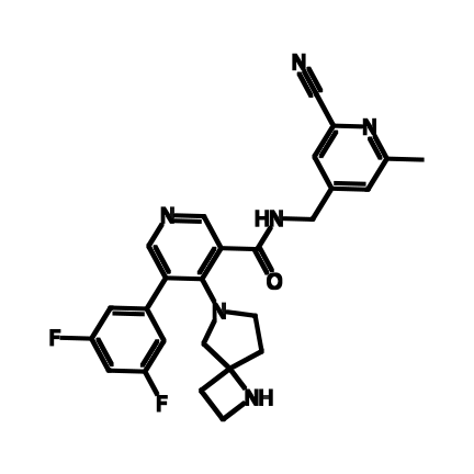 Cc1cc(CNC(=O)c2cncc(-c3cc(F)cc(F)c3)c2N2CCC3(CCN3)C2)cc(C#N)n1